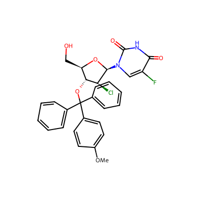 COc1ccc(C(O[C@H]2[C@H](Cl)[C@H](n3cc(F)c(=O)[nH]c3=O)O[C@@H]2CO)(c2ccccc2)c2ccccc2)cc1